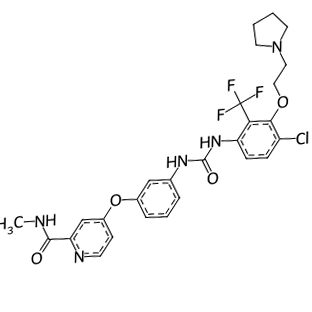 CNC(=O)c1cc(Oc2cccc(NC(=O)Nc3ccc(Cl)c(OCCN4CCCC4)c3C(F)(F)F)c2)ccn1